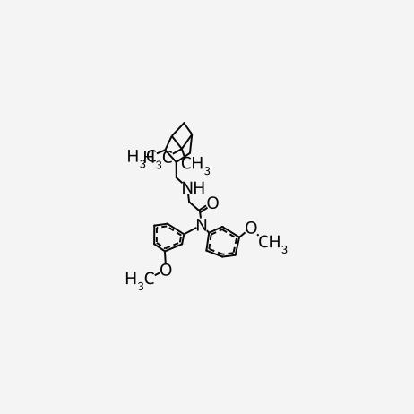 COc1cccc(N(C(=O)CNCC2CC3CC(C2C)C3(C)C)c2cccc(OC)c2)c1